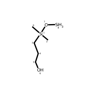 C[Si](C)(CCCO)O[SiH3]